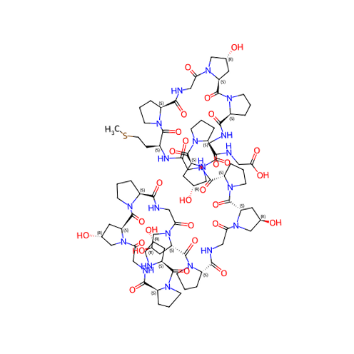 CSCC[C@H](NC(=O)CNC(=O)[C@@H]1CCCN1C(=O)[C@@H]1C[C@@H](O)CN1C(=O)CNC(=O)[C@@H]1CCCN1C(=O)[C@@H]1C[C@@H](O)CN1C(=O)CNC(=O)[C@@H]1CCCN1C(=O)[C@@H]1C[C@@H](O)CN1C(=O)CNC(=O)[C@@H]1CCCN1C(=O)[C@@H]1C[C@@H](O)CN1)C(=O)N1CCC[C@H]1C(=O)NCC(=O)N1C[C@H](O)C[C@H]1C(=O)N1CCC[C@H]1C(=O)NCC(=O)N1C[C@H](O)C[C@H]1C(=O)N1CCC[C@H]1C(=O)NCC(=O)O